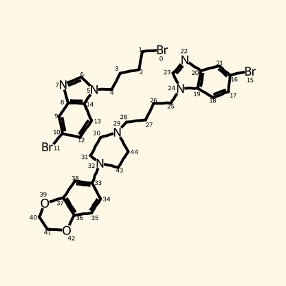 BrCCCCn1cnc2cc(Br)ccc21.Brc1ccc2c(c1)ncn2CCCCN1CCN(c2ccc3c(c2)OCCO3)CC1